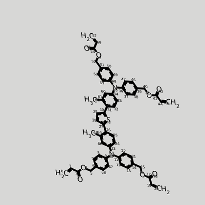 C=CC(=O)OCc1ccc(N(c2ccc(COC(=O)C=C)cc2)c2ccc(-c3ccc(-c4ccc(N(c5ccc(COC(=O)C=C)cc5)c5ccc(COC(=O)C=C)cc5)cc4C)s3)c(C)c2)cc1